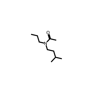 CCCN(CCC(C)C)C(C)=O